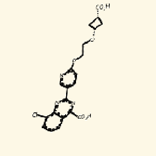 O=C(O)c1nc(-c2ccc(OCCO[C@H]3C[C@@H](C(=O)O)C3)nc2)nc2c(Cl)cccc12